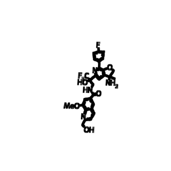 COc1cc(C(=O)NCC(O)(c2cc3c(c(-c4ccc(F)cc4)n2)OCC3(C)N)C(F)(F)F)cc2ccc(CO)nc12